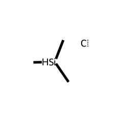 C[SiH](C)C.[C]